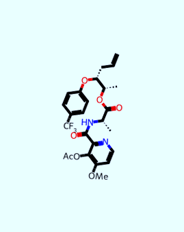 C=CC[C@@H](Oc1ccc(C(F)(F)F)cc1)[C@H](C)OC(=O)[C@H](C)NC(=O)c1nccc(OC)c1OC(C)=O